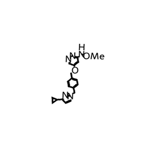 CONc1cc(OCc2ccc(Cn3ccc(C4CC4)n3)cc2)cnn1